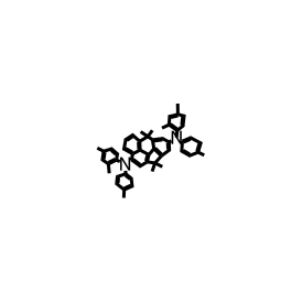 Cc1ccc(N(c2cc3c4c(c2)C(C)(C)c2cccc5c(N(c6ccc(C)cc6)c6ccc(C)cc6C)cc(c-4c25)C3(C)C)c2ccc(C)cc2C)cc1